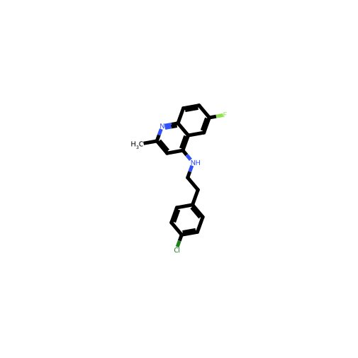 Cc1cc(NCCc2ccc(Cl)cc2)c2cc(F)ccc2n1